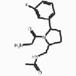 CC(=O)NCC1CCC(c2cccc(F)c2)N1C(=O)CN